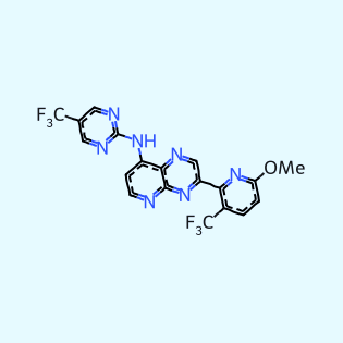 COc1ccc(C(F)(F)F)c(-c2cnc3c(Nc4ncc(C(F)(F)F)cn4)ccnc3n2)n1